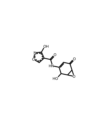 O=C(NC1=CC(=O)C2OC2C1O)c1conc1O